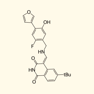 CC(C)(C)c1ccc2c(c1)/C(=C/NCc1cc(O)c(-c3ccoc3)cc1F)C(=O)NC2=O